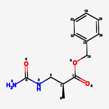 C[C@@H](CNC(N)=O)C(=O)OCc1ccccc1